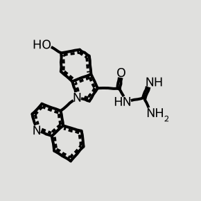 N=C(N)NC(=O)c1cn(-c2ccnc3ccccc23)c2cc(O)ccc12